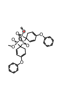 COP(=O)(OC)C1(S(=O)(=O)C2(P(=O)(OC)OC)C=CC(Oc3ccccc3)=CC2)C=CC(Oc2ccccc2)=CC1